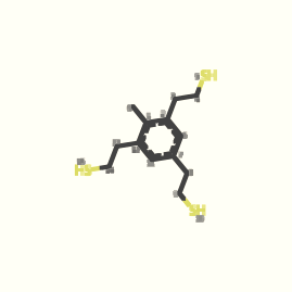 Cc1c(CCS)cc(CCS)cc1CCS